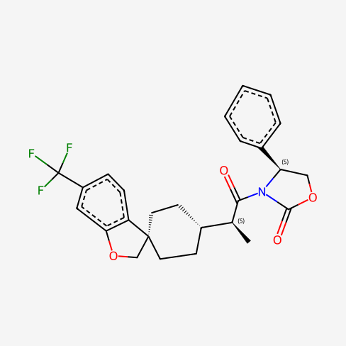 C[C@H](C(=O)N1C(=O)OC[C@@H]1c1ccccc1)[C@H]1CC[C@]2(CC1)COc1cc(C(F)(F)F)ccc12